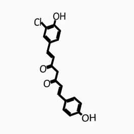 O=C(C=Cc1ccc(O)cc1)CC(=O)C=Cc1ccc(O)c(Cl)c1